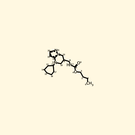 CCCCOC(=O)NCC1CN(C2CCCCC2)c2ccnn2C1